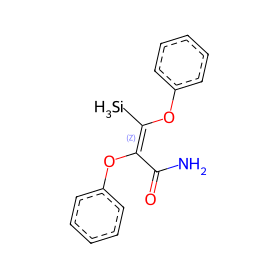 NC(=O)/C(Oc1ccccc1)=C(/[SiH3])Oc1ccccc1